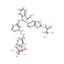 O=C(Nc1ccc2c(c1)OC(F)(F)O2)c1ccccc1NCc1ccnc(NCCc2c[nH]cn2)c1.O=C(O)C(F)(F)F.O=C(O)C(F)(F)F